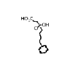 O=C(O)CCP(=O)(O)CCCCc1ccccc1